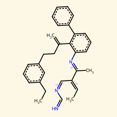 C=C(CCc1cccc(CC)c1)c1c(/N=C(C)/C(/C=N\C=N)=C/C)cccc1-c1ccccc1